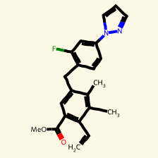 C=Cc1c(C(=O)OC)cc(Cc2ccc(-n3cccn3)cc2F)c(C)c1C